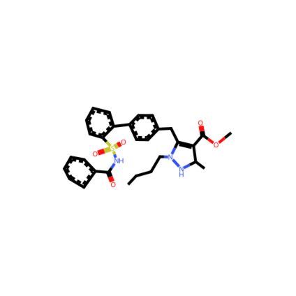 CCCCN1NC(C)C(C(=O)OC)=C1Cc1ccc(-c2ccccc2S(=O)(=O)NC(=O)c2ccccc2)cc1